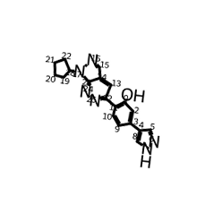 Oc1cc(-c2cn[nH]c2)ccc1-c1cc2cnn(C3CCCC3)c2nn1